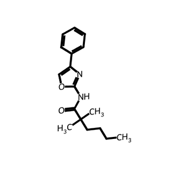 CCCCC(C)(C)C(=O)Nc1nc(-c2ccccc2)co1